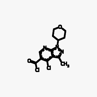 Cc1nn(C2CCOCC2)c2ncc(C(=O)Cl)c(Cl)c12